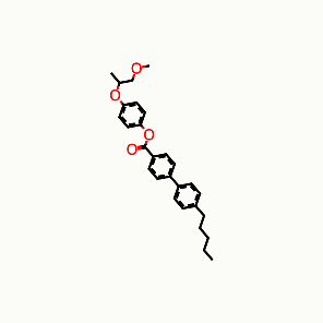 CCCCCc1ccc(-c2ccc(C(=O)Oc3ccc(OC(C)COC)cc3)cc2)cc1